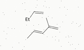 C=C(C)C=CC.C=CCC